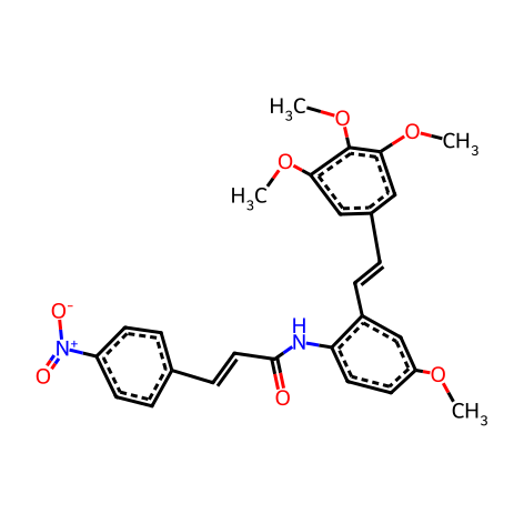 COc1ccc(NC(=O)/C=C/c2ccc([N+](=O)[O-])cc2)c(C=Cc2cc(OC)c(OC)c(OC)c2)c1